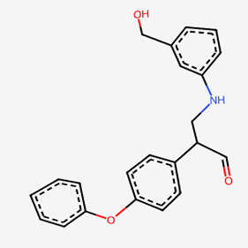 O=CC(CNc1cccc(CO)c1)c1ccc(Oc2ccccc2)cc1